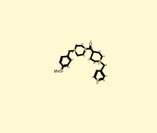 CSc1ccc(CN2CCN(C(=O)C3CCN(Cc4ccncc4)CC3)CC2)cc1